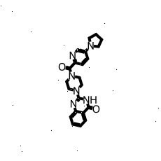 O=C(c1ccc(N2CCCC2)cn1)N1CCN(c2nc3ccccc3c(=O)[nH]2)CC1